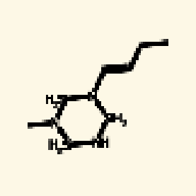 CCC=CN1[SiH2]N[SiH2]N(C)[SiH2]1